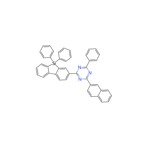 c1ccc(-c2nc(-c3ccc4c(c3)[Si](c3ccccc3)(c3ccccc3)c3ccccc3-4)nc(-c3ccc4ccccc4c3)n2)cc1